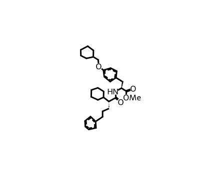 COC(=O)[C@H](Cc1ccc(OCC2CCCCC2)cc1)NC(=O)[C@H](CCCc1ccccc1)C1CCCCC1